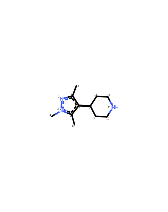 Cc1nn(C)c(C)c1C1CCNCC1